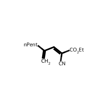 C=C(/C=C(\C#N)C(=O)OCC)CCCCC